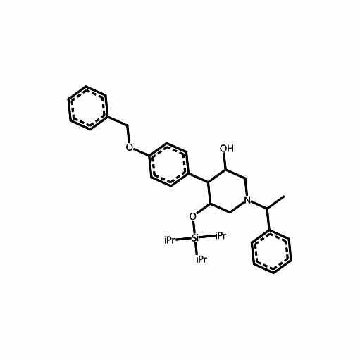 CC(c1ccccc1)N1CC(O)C(c2ccc(OCc3ccccc3)cc2)C(O[Si](C(C)C)(C(C)C)C(C)C)C1